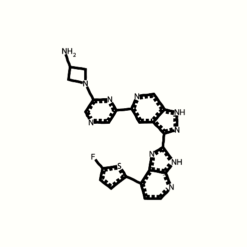 NC1CN(c2cncc(-c3cc4c(-c5nc6c(-c7ccc(F)s7)ccnc6[nH]5)n[nH]c4cn3)n2)C1